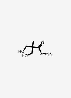 CCCSC(=O)C(C)(CO)CO